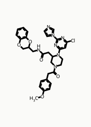 COc1ccc(CC(=O)N2CCN(c3cc(Cl)nc(-n4ccnc4)n3)C(CC(=O)NCC3COc4ccccc4O3)C2)cc1